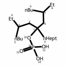 CCCCCCCC(CC(CC)CCCC)(CC(CC)CCCC)OP(=O)(O)O